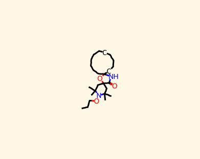 CCCON1C(C)(C)CC2(CC1(C)C)OC1(CCCCCCCCCCC1)NC2=O